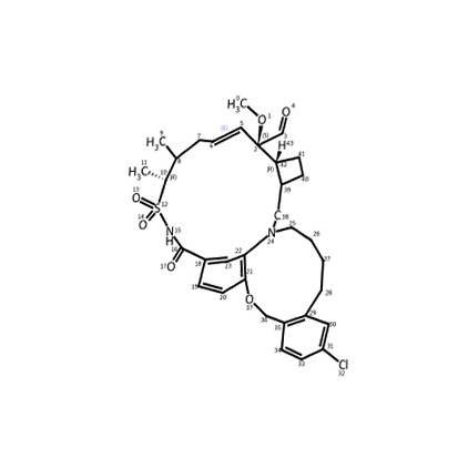 CO[C@]1(C=O)/C=C/CC(C)[C@@H](C)S(=O)(=O)NC(=O)c2ccc3c(c2)N(CCCCc2cc(Cl)ccc2CO3)CC2CC[C@H]21